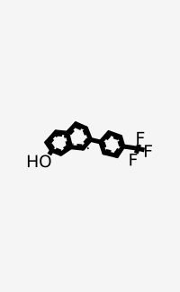 Oc1ccc2ccc(-c3ccc(C(F)(F)F)cc3)[c]c2c1